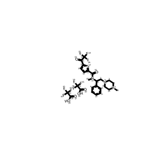 CN1CCN(CC(c2ccccc2)N(C)C(=O)c2ccc(C(=O)C(F)(F)F)s2)CC1.O=C(O)C(F)(F)F.O=C(O)C(F)(F)F